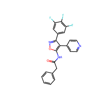 O=C(Cc1ccccc1)Nc1onc(-c2cc(F)c(F)c(F)c2)c1-c1ccncc1